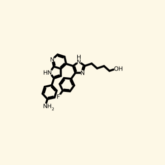 Nc1ccc(-c2cc3c(-c4[nH]c(CCCCO)nc4-c4ccc(F)cc4)ccnc3[nH]2)cc1